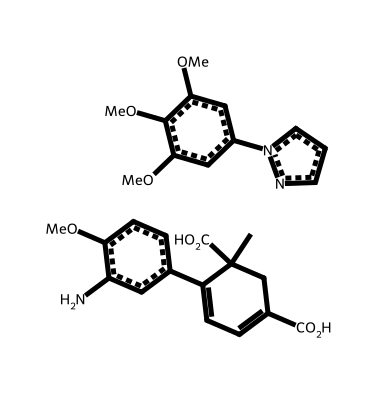 COc1cc(-n2cccn2)cc(OC)c1OC.COc1ccc(C2=CC=C(C(=O)O)CC2(C)C(=O)O)cc1N